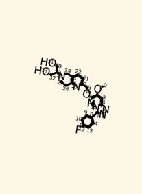 COc1cc2nnc(-c3ccc(F)cc3)n2nc1OCc1ccc2c(n1)CCN(C(CO)CO)C2